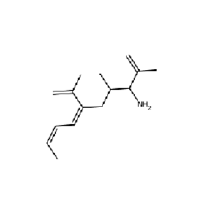 C=C(C)/C(=C\C=C/C)CC(C)C(N)C(=C)C